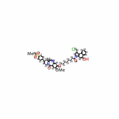 CNS(=O)(=O)c1ccc(C2=CCN3C(=O)c4cc(OC)c(OCCCCCCCC(=O)N5C[C@@H](CCl)c6c5cc(O)c5ccccc65)cc4N=C[C@@H]3C2)cc1